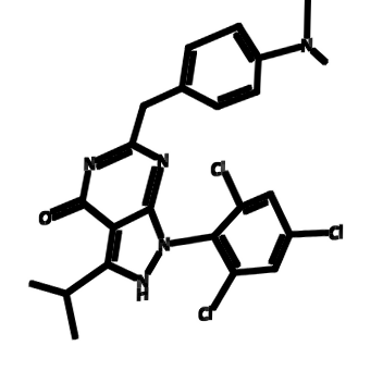 CC(C)c1[nH]n(-c2c(Cl)cc(Cl)cc2Cl)c2nc(Cc3ccc(N(C)C)cc3)nc(=O)c1-2